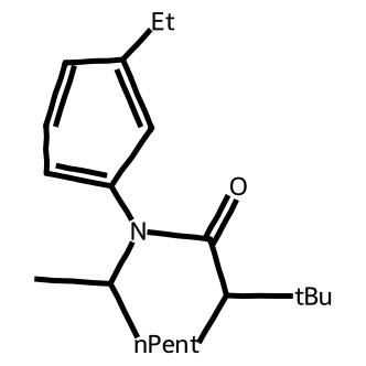 CCCCCC(C)N(C(=O)C(C)C(C)(C)C)c1cccc(CC)c1